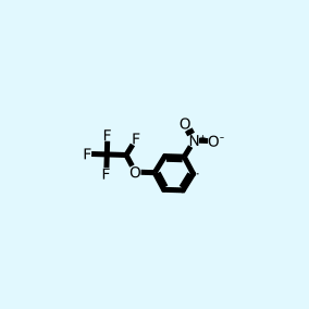 O=[N+]([O-])c1[c]ccc(OC(F)C(F)(F)F)c1